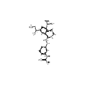 NC(=O)c1cc(C(O)CO)cc2c(NCc3cccc(NC(=O)O)c3)ncnc12